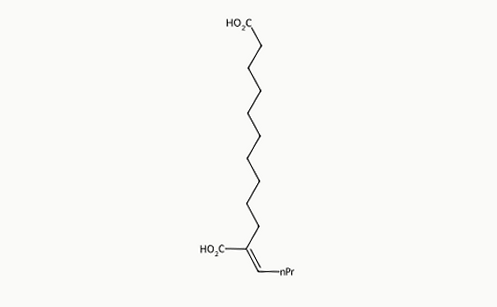 CCCC=C(CCCCCCCCCC(=O)O)C(=O)O